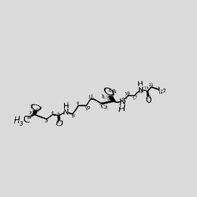 CC(=O)CCC(=O)NCCCCCC(=O)NCCNC(=O)CI